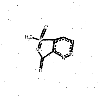 CS1(=O)=NC(=O)c2nnccc21